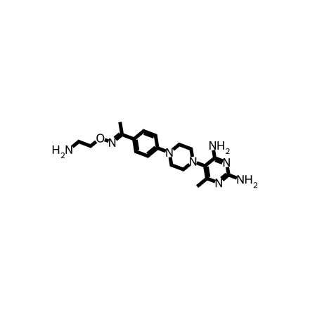 CC(=NOCCN)c1ccc(N2CCN(c3c(C)nc(N)nc3N)CC2)cc1